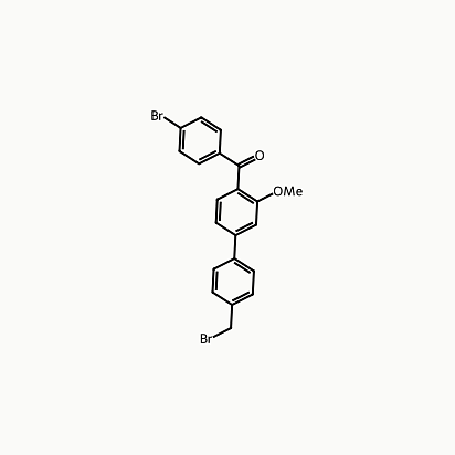 COc1cc(-c2ccc(CBr)cc2)ccc1C(=O)c1ccc(Br)cc1